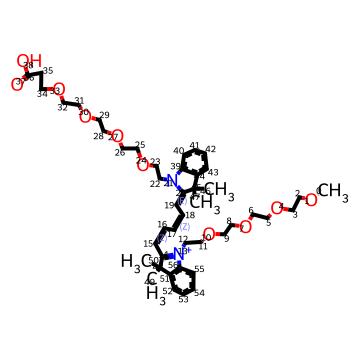 COCCOCCOCCOCC[N+]1=C(\C=C/C=C\C=C2\N(CCOCCOCCOCCOCCC(=O)O)c3ccccc3C2(C)C)C(C)(C)c2ccccc21